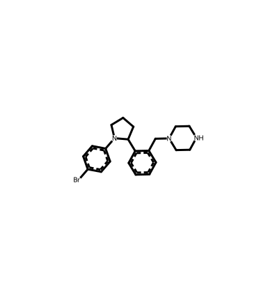 Brc1ccc(N2CCCC2c2ccccc2CN2CCNCC2)cc1